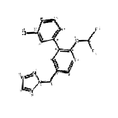 FC(F)Oc1ncc(Cn2ncnn2)cc1-c1cccc(Cl)c1